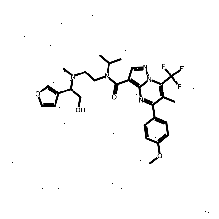 COc1ccc(-c2nc3c(C(=O)N(CCN(C)C(CO)c4ccoc4)C(C)C)cnn3c(C(F)(F)F)c2C)cc1